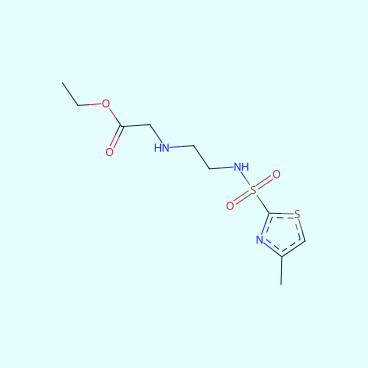 CCOC(=O)CNCCNS(=O)(=O)c1nc(C)cs1